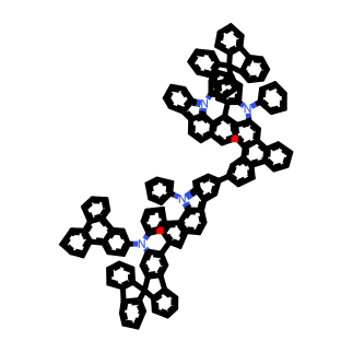 c1ccc(N(c2ccc3c4ccccc4c4ccccc4c3c2)c2cc3c(cc2-c2ccc4c(ccc5c6cc(-c7ccc8c9ccccc9c9cc(N(c%10ccccc%10)c%10cc%11c(cc%10-c%10cccc%12ccc%13c%14ccccc%14n(-c%14ccccc%14)c%13c%10%12)-c%10ccccc%10C%11%10c%11ccccc%11-c%11ccccc%11%10)ccc9c8c7)ccc6n(-c6ccccc6)c45)c2)-c2ccccc2C32c3ccccc3-c3ccccc32)cc1